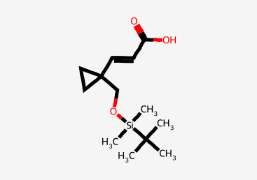 CC(C)(C)[Si](C)(C)OCC1(C=CC(=O)O)CC1